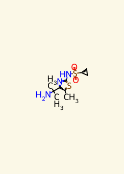 Cc1sc(NS(=O)(=O)C2=CC2)nc1C(C)(C)N